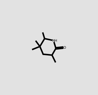 CC1CC(C)(C)C(C)NC1=O